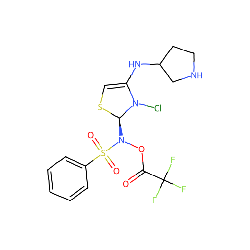 O=C(ON([C@H]1SC=C(NC2CCNC2)N1Cl)S(=O)(=O)c1ccccc1)C(F)(F)F